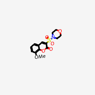 COc1cccc2cc(S(=O)(=O)N3CCOCC3)c(=O)oc12